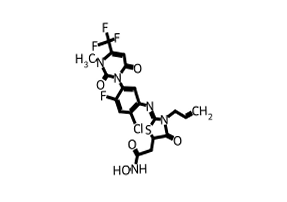 C=CCN1C(=O)C(CC(=O)NO)SC1=Nc1cc(-n2c(=O)cc(C(F)(F)F)n(C)c2=O)c(F)cc1Cl